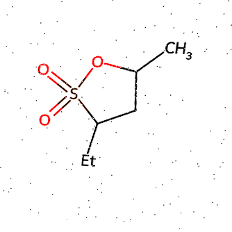 CCC1CC(C)OS1(=O)=O